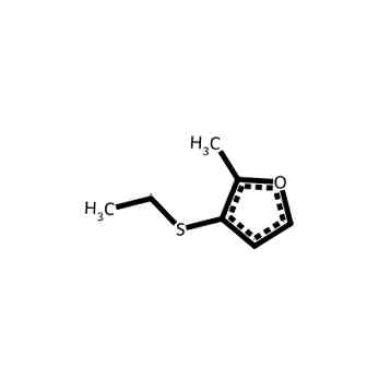 C[CH]Sc1ccoc1C